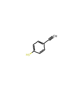 C#Cc1ccc(S)cc1